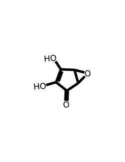 O=C1C(O)=C(O)C2OC12